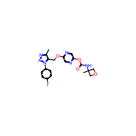 Cc1nnn(-c2ccc(F)cc2)c1COc1cnc(OC(=O)NC2(C)COC2)cn1